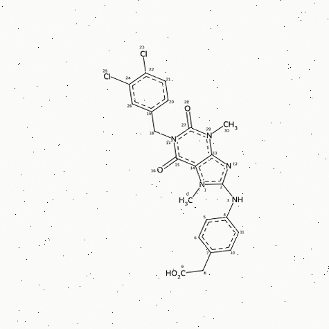 Cn1c(Nc2ccc(CC(=O)O)cc2)nc2c1c(=O)n(Cc1ccc(Cl)c(Cl)c1)c(=O)n2C